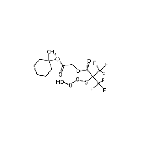 CC1(OC(=O)COC(=O)C(SOOO)(C(F)(F)F)C(F)(F)F)CCCCC1